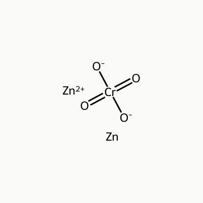 [O]=[Cr](=[O])([O-])[O-].[Zn+2].[Zn]